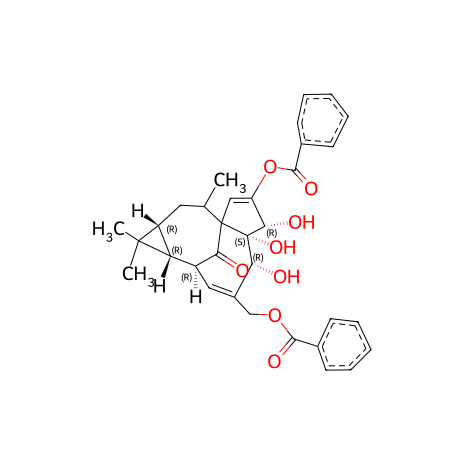 CC1C[C@@H]2[C@H]([C@@H]3C=C(COC(=O)c4ccccc4)[C@@H](O)[C@]4(O)[C@@H](O)C(OC(=O)c5ccccc5)=CC14C3=O)C2(C)C